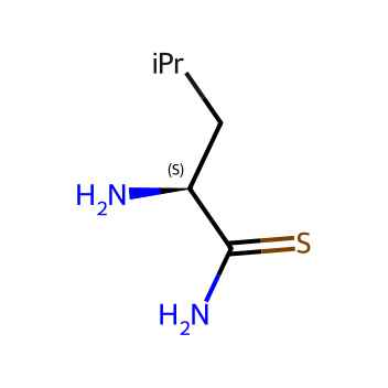 CC(C)C[C@H](N)C(N)=S